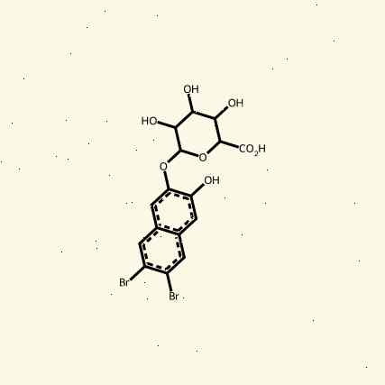 O=C(O)C1OC(Oc2cc3cc(Br)c(Br)cc3cc2O)C(O)C(O)C1O